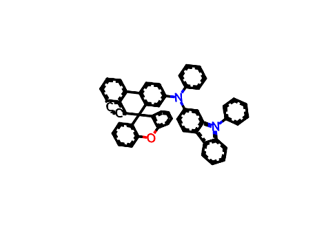 c1ccc(N(c2ccc3c(c2)C2(c4ccccc4Oc4ccccc42)c2cccc4cccc-3c24)c2ccc3c4ccccc4n(-c4ccccc4)c3c2)cc1